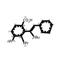 CCCCC(=Cc1ccccc1)c1c(C(=O)O)ccc(CCC)c1CCC